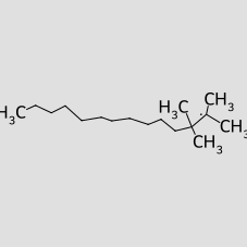 CCCCCCCCCCCC(C)(C)[C](C)C